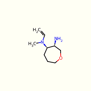 C=CN(C)[C@@H]1CCCOC[C@@H]1N